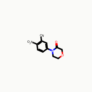 N#Cc1cc(N2CCOCC2=O)ccc1[N+](=O)[O-]